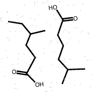 CC(C)CCCC(=O)O.CCC(C)CCC(=O)O